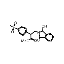 COC(=O)C(CN1C(=O)c2ccccc2C1O)c1ccc(S(C)(=O)=O)cc1